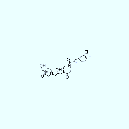 O=C(/C=C/c1ccc(F)c(Cl)c1)N1CCC(=O)N(C[C@@H](O)CN2CC[C@H](CO)[C@@H](O)C2)CC1